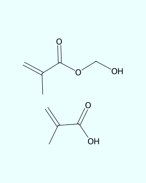 C=C(C)C(=O)O.C=C(C)C(=O)OCO